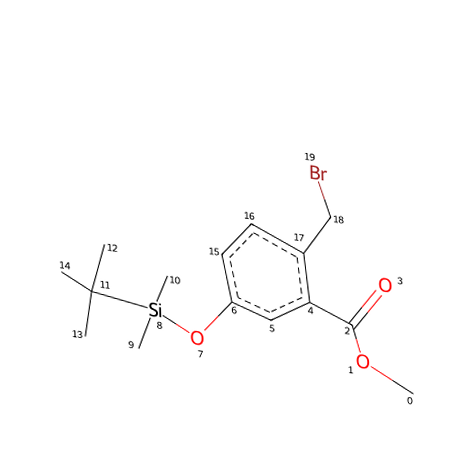 COC(=O)c1cc(O[Si](C)(C)C(C)(C)C)ccc1CBr